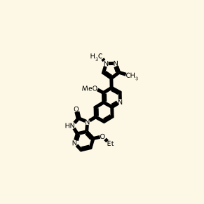 CCOc1ccnc2[nH]c(=O)n(-c3ccc4ncc(-c5cn(C)nc5C)c(OC)c4c3)c12